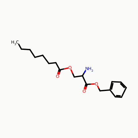 CCCCCCCC(=O)OCC(N)C(=O)OCc1ccccc1